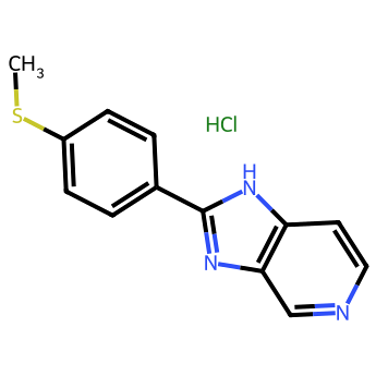 CSc1ccc(-c2nc3cnccc3[nH]2)cc1.Cl